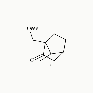 COCC12CCC(CC1=O)C2(C)C